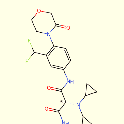 NC(=O)[C@H](C(=O)Nc1ccc(N2CCOCC2=O)c(C(F)F)c1)N(C1CC1)C1CC1